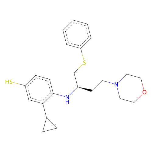 Sc1ccc(N[C@H](CCN2CCOCC2)CSc2ccccc2)c(C2CC2)c1